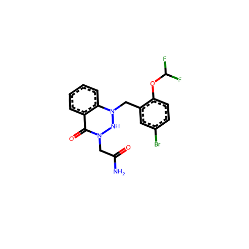 NC(=O)CN1NN(Cc2cc(Br)ccc2OC(F)F)c2ccccc2C1=O